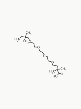 CC(C)(CN)COCCOCCOCCOCCC(C)(C)C(=O)O